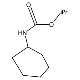 CC(C)OC(=O)NC1CC[CH]CC1